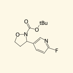 CC(C)(C)OC(=O)N1OCCC1c1ccc(F)nc1